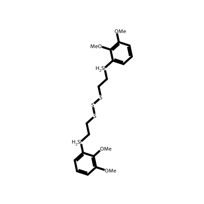 COc1cccc([SiH2]CCSSSCC[SiH2]c2cccc(OC)c2OC)c1OC